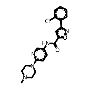 CN1CCN(c2ccc(NC(=O)c3cc(-c4ccccc4Cl)no3)cn2)CC1